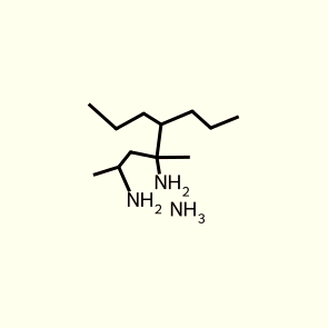 CCCC(CCC)C(C)(N)CC(C)N.N